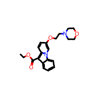 CCOC(=O)c1c2ccccc2n2cc(OCCN3CCOCC3)ccc12